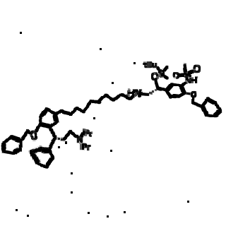 CC(C)N(CC[C@H](c1ccccc1)c1cc(C=CCCCCCCCCNC[C@H](O[Si](C)(C)C(C)(C)C)c2ccc(OCc3ccccc3)c(NS(C)(=O)=O)c2)ccc1OCc1ccccc1)C(C)C